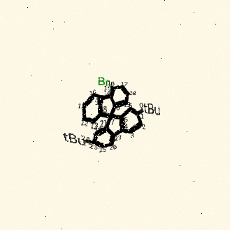 CC(C)(C)c1ccc2c(c1)C1(C3=C(C=CCC3)c3c(Br)cccc31)c1cc(C(C)(C)C)ccc1-2